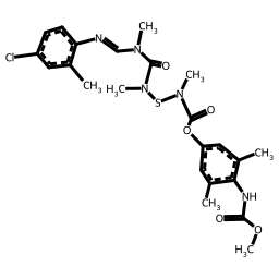 COC(=O)Nc1c(C)cc(OC(=O)N(C)SN(C)C(=O)N(C)C=Nc2ccc(Cl)cc2C)cc1C